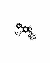 CC(C)(C)OC(=O)n1cnc2cc(-n3cccn3)c([N+](=O)[O-])cc21